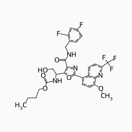 CCCCOC(=O)NC(CO)c1oc(-c2ccc(OC)c3nc(C(F)(F)F)ccc23)nc1C(=O)NCc1ccc(F)cc1F